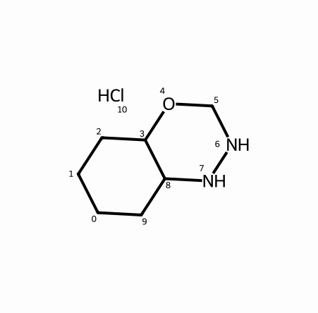 C1CCC2OCNNC2C1.Cl